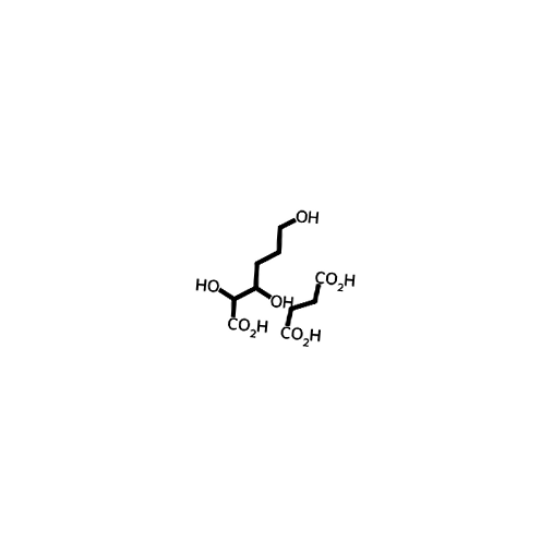 O=C(O)C(O)C(O)CCCO.O=C(O)CCC(=O)O